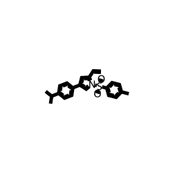 C=Cc1cc(-c2ccc(C(C)C)cc2)cn1S(=O)(=O)c1ccc(C)cc1